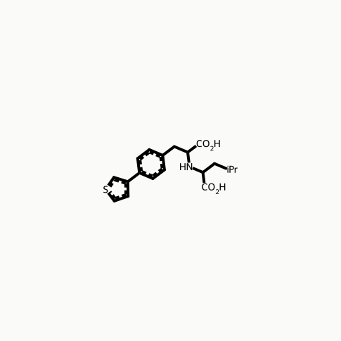 CC(C)CC(NC(Cc1ccc(-c2ccsc2)cc1)C(=O)O)C(=O)O